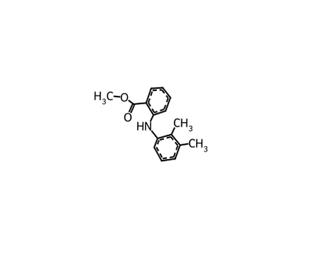 COC(=O)c1ccccc1Nc1cccc(C)c1C